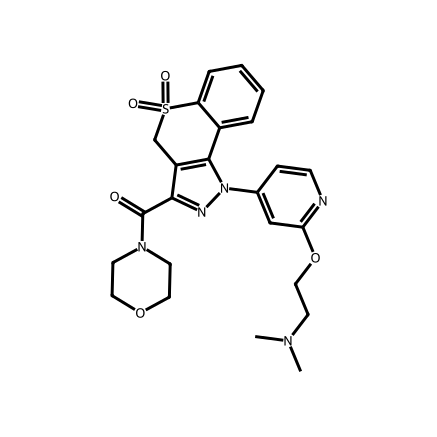 CN(C)CCOc1cc(-n2nc(C(=O)N3CCOCC3)c3c2-c2ccccc2S(=O)(=O)C3)ccn1